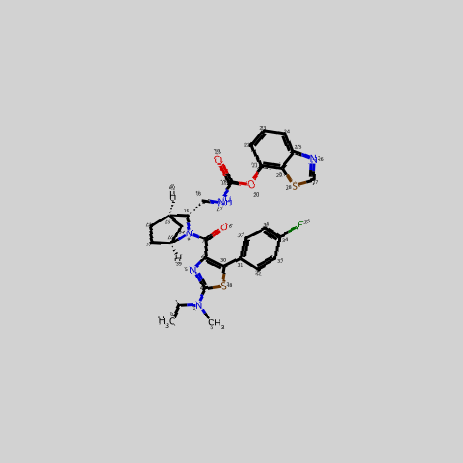 CCN(C)c1nc(C(=O)N2[C@H]3CC[C@H](C3)[C@@H]2CNC(=O)Oc2cccc3ncsc23)c(-c2ccc(F)cc2)s1